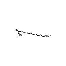 CCCCCCCCCCCCCCCCCCNCC(CC)CCCC